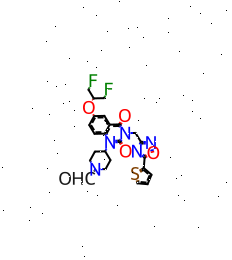 O=CN1CCC(n2c(=O)n(Cc3noc(-c4cccs4)n3)c(=O)c3cc(OC(CF)CF)ccc32)CC1